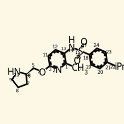 Cc1nc(OC[C@H]2CCCN2)ccc1NS(=O)(=O)c1ccc(C(C)C)cc1